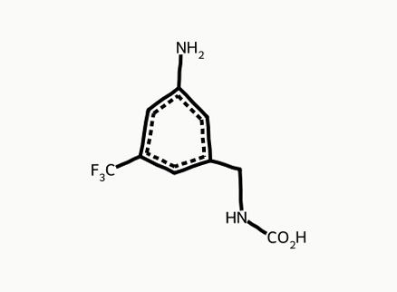 Nc1cc(CNC(=O)O)cc(C(F)(F)F)c1